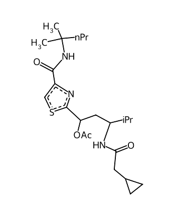 CCCC(C)(C)NC(=O)c1csc(C(CC(NC(=O)CC2CC2)C(C)C)OC(C)=O)n1